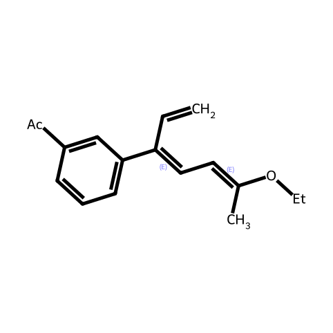 C=C/C(=C\C=C(/C)OCC)c1cccc(C(C)=O)c1